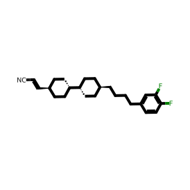 N#CC=C[C@H]1CC[C@H]([C@H]2CC[C@H](CCCCc3ccc(F)c(F)c3)CC2)CC1